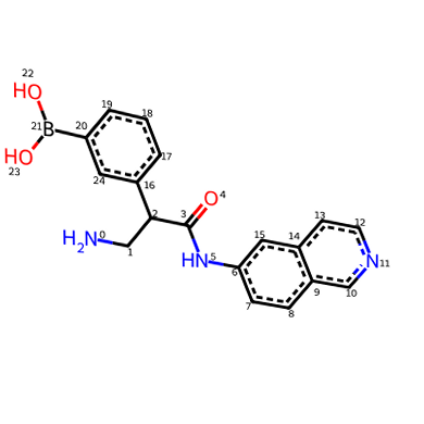 NCC(C(=O)Nc1ccc2cnccc2c1)c1cccc(B(O)O)c1